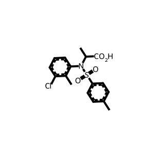 Cc1ccc(S(=O)(=O)N(c2cccc(Cl)c2C)C(C)C(=O)O)cc1